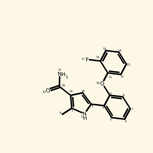 Cc1[nH]c(-c2ccccc2Oc2ccccc2F)cc1C(N)=O